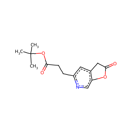 CC(C)(C)OC(=O)CCc1cc2c(cn1)OC(=O)C2